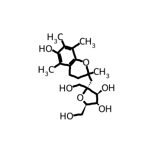 Cc1c(C)c2c(c(C)c1O)CCC(C)(C[C@@]1(CO)O[C@H](CO)[C@@H](O)[C@@H]1O)O2